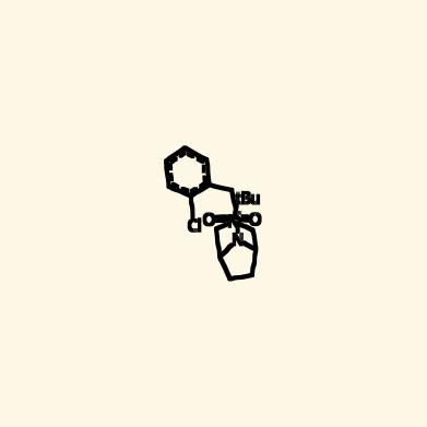 CC(C)(C)N1CC2CCC(C1)N2S(=O)(=O)Cc1ccccc1Cl